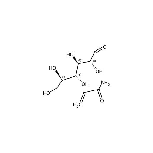 C=CC(N)=O.O=C[C@H](O)[C@H](O)[C@H](O)[C@H](O)CO